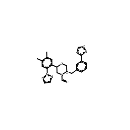 Cc1cc(C2CN(C=O)[C@H](Cc3cccc(-c4ncon4)c3)CO2)c(-n2nccn2)cc1C